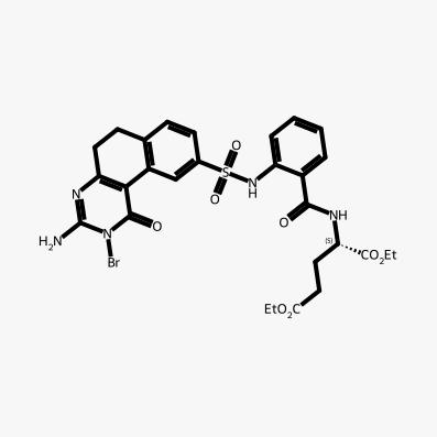 CCOC(=O)CC[C@H](NC(=O)c1ccccc1NS(=O)(=O)c1ccc2c(c1)-c1c(nc(N)n(Br)c1=O)CC2)C(=O)OCC